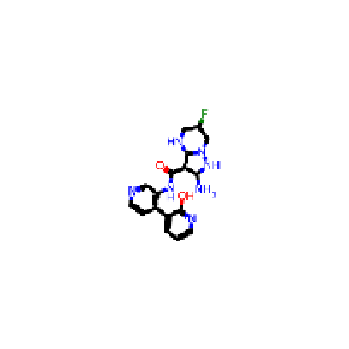 NC1NN2CC(F)CNC2C1C(=O)Nc1cnccc1-c1cccnc1O